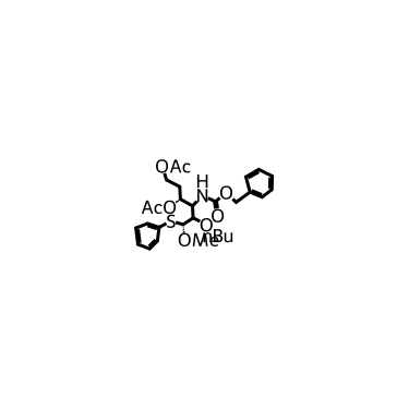 CCCCOC(C(NC(=O)OCc1ccccc1)[C@@H](CCOC(C)=O)OC(C)=O)[C@H](OC)Sc1ccccc1